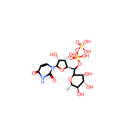 C[C@@H]1OC(C(OP(=O)(O)OP(=O)(O)O)[C@H]2O[C@@H](n3ccc(=O)[nH]c3=O)[C@H](O)[C@@H]2O)[C@H](O)[C@H](O)[C@H]1O